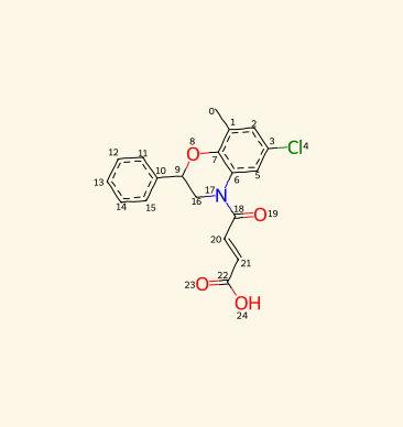 Cc1cc(Cl)cc2c1OC(c1ccccc1)CN2C(=O)C=CC(=O)O